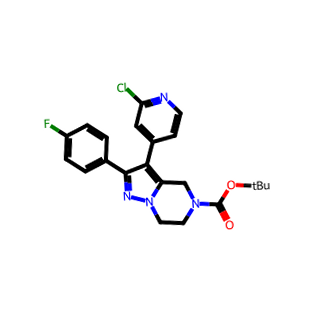 CC(C)(C)OC(=O)N1CCn2nc(-c3ccc(F)cc3)c(-c3ccnc(Cl)c3)c2C1